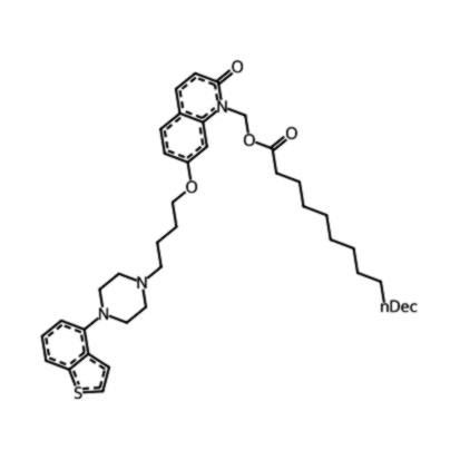 CCCCCCCCCCCCCCCCCCC(=O)OCn1c(=O)ccc2ccc(OCCCCN3CCN(c4cccc5sccc45)CC3)cc21